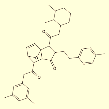 Cc1ccc(CCC2C(=O)C3C(C(=O)Cc4cc(C)cc(C)c4)C4C=CC3(O4)C2C(=O)CC2CCCC(C)C2C)cc1